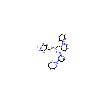 c1cc(N2CCCCCC2)nc(N[C@H]2CCCN(C3CCCCC3)[C@@H]2CCNCC2CCNCC2)n1